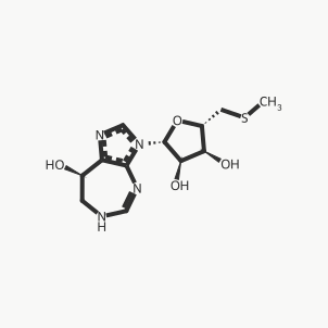 CSC[C@H]1O[C@@H](n2cnc3c2N=CNC[C@H]3O)[C@H](O)[C@@H]1O